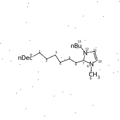 CCCCCCCCCCCCCCCCC1N(C)C=CN1CCCC